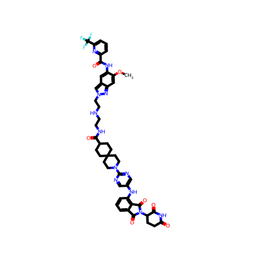 COc1cc2nn(CCNCCNC(=O)C3CCC4(CC3)CCN(c3ncc(Nc5cccc6c5C(=O)N(C5CCC(=O)NC5=O)C6=O)cn3)CC4)cc2cc1NC(=O)c1cccc(C(F)(F)F)n1